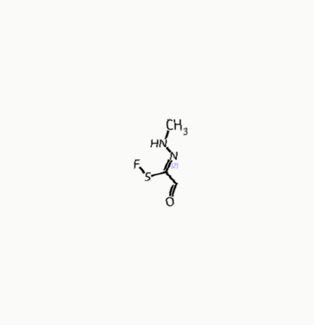 CN/N=C(/C=O)SF